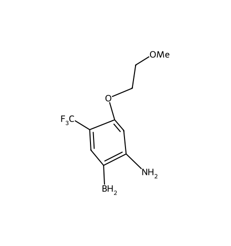 Bc1cc(C(F)(F)F)c(OCCOC)cc1N